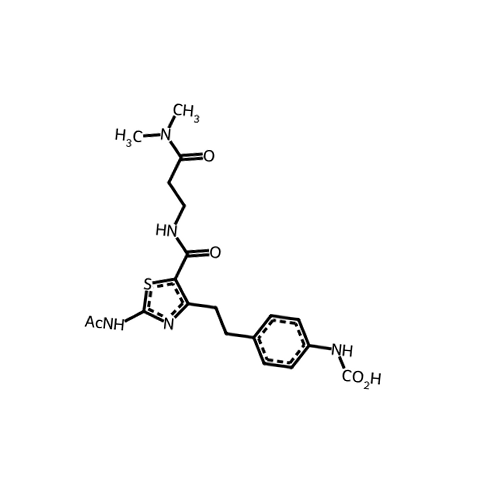 CC(=O)Nc1nc(CCc2ccc(NC(=O)O)cc2)c(C(=O)NCCC(=O)N(C)C)s1